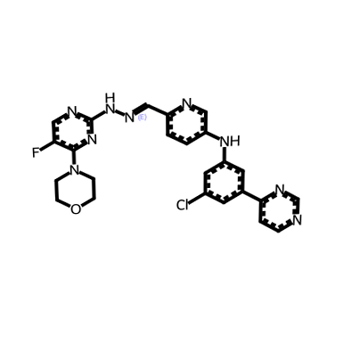 Fc1cnc(N/N=C/c2ccc(Nc3cc(Cl)cc(-c4ccncn4)c3)cn2)nc1N1CCOCC1